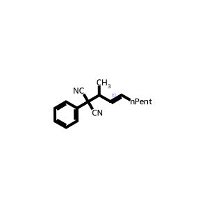 CCCCC/C=C/C(C)C(C#N)(C#N)c1ccccc1